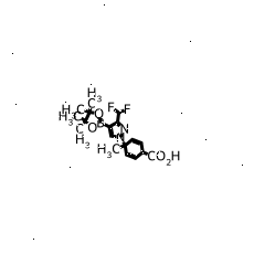 CC1(n2cc(B3OC(C)(C)C(C)(C)O3)c(C(F)F)n2)C=CC(C(=O)O)C=C1